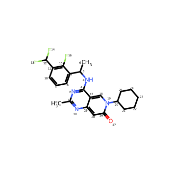 Cc1nc(NC(C)c2cccc(C(F)F)c2F)c2cn(C3CCCCC3)c(=O)cc2n1